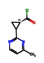 Cc1ccnc(C2C[C@@H]2C(=O)Cl)n1